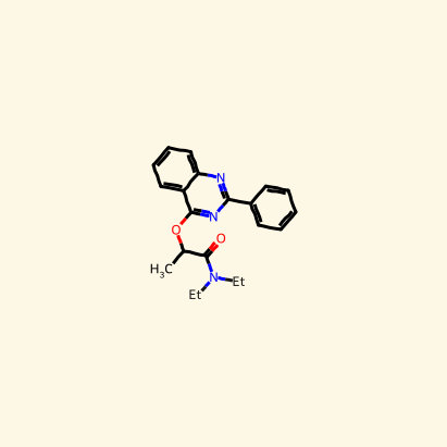 CCN(CC)C(=O)C(C)Oc1nc(-c2ccccc2)nc2ccccc12